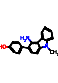 Cn1c2ccccc2c2c(N)c(-c3ccc(O)cc3)ccc21